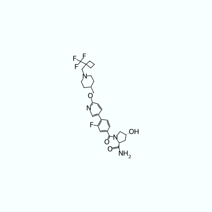 NC(=O)[C@@H]1C[C@@H](O)CN1C(=O)c1ccc(-c2ccc(OCC3CCN(CC4(C(F)(F)F)CCC4)CC3)nc2)c(F)c1